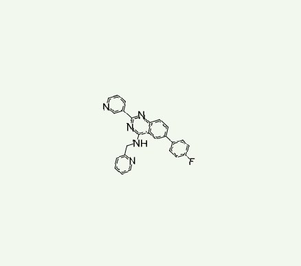 Fc1ccc(-c2ccc3nc(-c4cccnc4)nc(NCc4ccccn4)c3c2)cc1